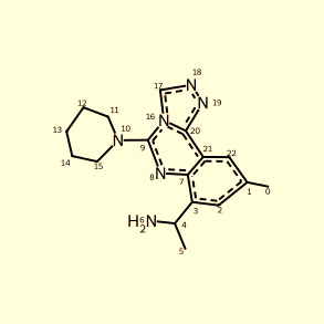 Cc1cc(C(C)N)c2nc(N3CCCCC3)n3cnnc3c2c1